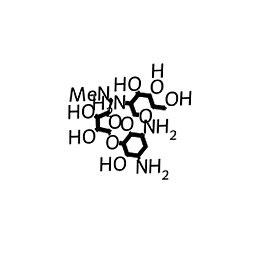 CNC[C@H]1O[C@@H](OC2C(O)[C@H](N)CC(N)[C@H]2O[C@H]2OC(CO)[C@@H](O)C(O)C2N)C(O)C1O